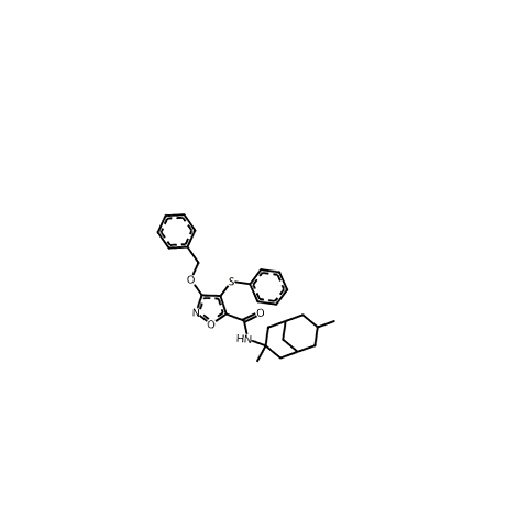 CC1CC2CC(C1)CC(C)(NC(=O)c1onc(OCc3ccccc3)c1Sc1ccccc1)C2